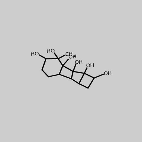 CC1(O)C(O)CCC2C3C4CC(O)C4(O)C3(O)C21O